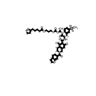 CC(OC(=O)OCCCOC(=O)CCCCC1CCSS1)OC(=O)[C@H](Cc1cccc(S(C)(=O)=O)c1)NC(=O)c1c(Cl)cc2c(c1Cl)CCN(C(=O)c1ccc3ccoc3c1)C2